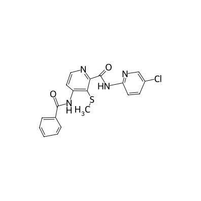 CSc1c(NC(=O)c2ccccc2)ccnc1C(=O)Nc1ccc(Cl)cn1